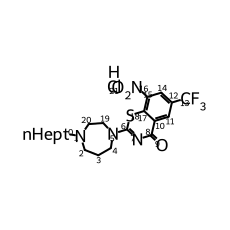 CCCCCCCN1CCCN(c2nc(=O)c3cc(C(F)(F)F)cc([N+](=O)[O-])c3s2)CC1.Cl